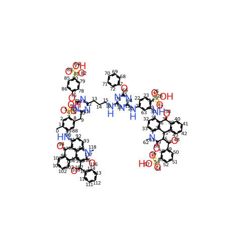 Cc1cc(S(=O)(=O)O)c(Cc2nc(CCCNc3nc(Nc4ccc(S(=O)(=O)O)c(Nc5ccc6c7c5C(=O)c5ccccc5C7C(C(=O)c5cccc(S(=O)(=O)O)c5)C(=O)N6C)c4)nc(Oc4ccccc4)n3)nc(Oc3ccc(S(=O)(=O)O)cc3)n2)cc1Nc1ccc2c3c1C(=O)c1ccccc1-c3c(C(=O)c1ccccc1)c(=O)n2C